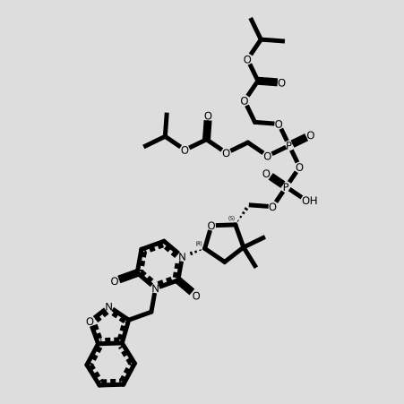 CC(C)OC(=O)OCOP(=O)(OCOC(=O)OC(C)C)OP(=O)(O)OC[C@H]1O[C@@H](n2ccc(=O)n(Cc3noc4ccccc34)c2=O)CC1(C)C